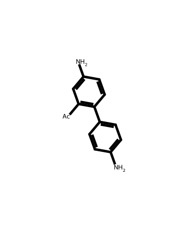 CC(=O)c1cc(N)ccc1-c1ccc(N)cc1